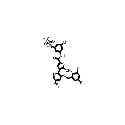 Cc1sc(C(=O)Nc2cc(Cl)cc(NS(C)(=O)=O)c2)cc1-c1ncc(C(F)(F)F)cc1OCc1cc(F)cc(F)c1